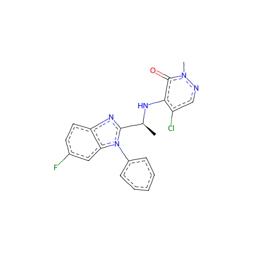 C[C@H](Nc1c(Cl)cnn(C)c1=O)c1nc2ccc(F)cc2n1-c1ccccc1